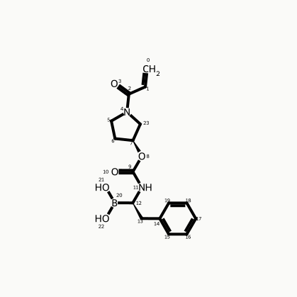 C=CC(=O)N1CC[C@H](OC(=O)N[C@@H](Cc2ccccc2)B(O)O)C1